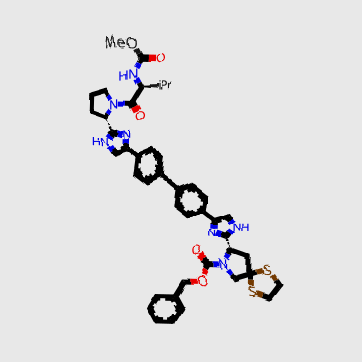 COC(=O)N[C@H](C(=O)N1CCC[C@H]1c1nc(-c2ccc(-c3ccc(-c4c[nH]c([C@@H]5CC6(CN5C(=O)OCc5ccccc5)SCCS6)n4)cc3)cc2)c[nH]1)C(C)C